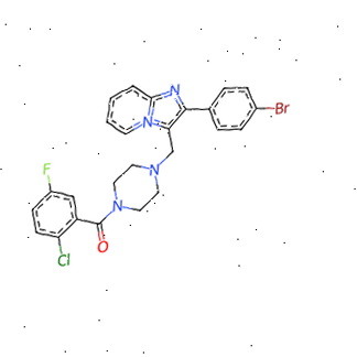 O=C(c1cc(F)ccc1Cl)N1CCN(Cc2c(-c3ccc(Br)cc3)nc3ccccn23)CC1